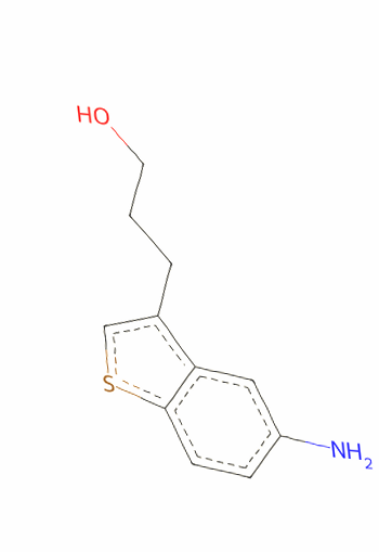 Nc1ccc2scc(CCCO)c2c1